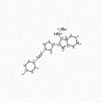 Cc1ccc(C#Cc2ccc(-c3nc4cnccn4c3NC(C)(C)C)s2)cc1